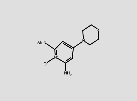 CNc1cc(N2CCSCC2)cc(N)[n+]1[O-]